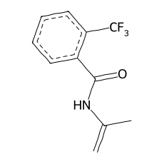 C=C(C)NC(=O)c1ccccc1C(F)(F)F